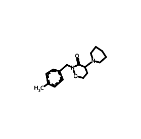 Cc1ccc(CN2OCCC(N3CCCCC3)C2=O)cc1